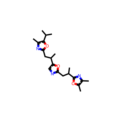 Cc1nc(C(C)Cc2ncc(C(C)Cc3nc(C)c(C(C)C)o3)o2)oc1C